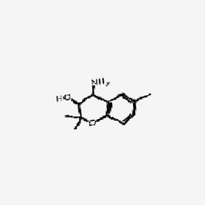 Cc1ccc2c(c1)C(N)C(O)C(C)(C)O2